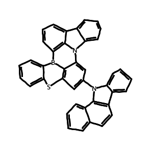 c1ccc2c(c1)Sc1cc(-n3c4ccccc4c4ccc5ccccc5c43)cc3c1B2c1cccc2c4ccccc4n-3c12